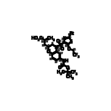 CCc1nc(S(=O)(=O)N2C[C@H](C[C@H](C)C(=O)O)Oc3ccc(NC(=O)OC(C)(C)C(F)(F)F)cc32)c(OCC(F)(F)F)s1